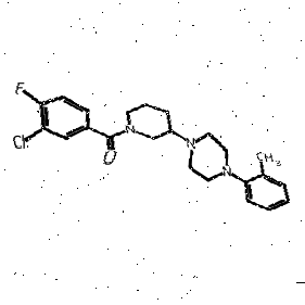 Cc1ccccc1N1CCN(C2CCCN(C(=O)c3ccc(F)c(Cl)c3)C2)CC1